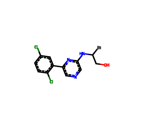 CCC(CO)Nc1cncc(-c2cc(Cl)ccc2Cl)n1